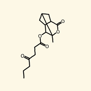 CCCC(=O)CCC(=O)OC1C2CC3CC2C(=O)OC31C